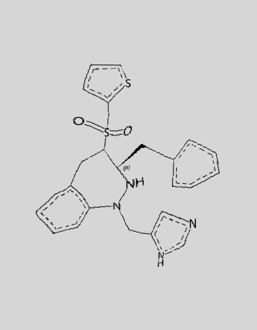 O=S(=O)(c1cccs1)C1Cc2ccccc2N(Cc2cnc[nH]2)N[C@@H]1Cc1ccccc1